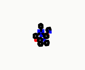 c1ccc(-c2nc(-c3ccccc3)nc(-c3cccc4oc5ccc(N(c6ccc(-c7ccccn7)cc6)c6ccccc6-c6ccccc6)cc5c34)n2)cc1